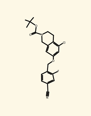 CC(C)(C)OC(=O)N1CCc2c(Cl)cc(OCc3ccc(C#N)cc3F)cc2C1